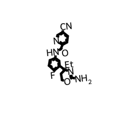 CC[C@@]1(c2cc(NC(=O)c3ccc(C#N)cn3)ccc2F)CCOC(N)=N1